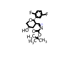 CC(C)(C)OC(=O)/N=C\C1C[C@H](O)CO[C@@H]1c1cc(F)ccc1F